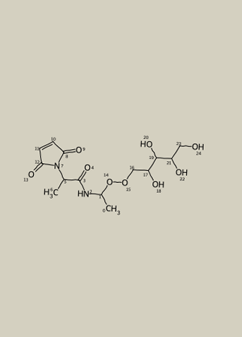 CC(NC(=O)C(C)N1C(=O)C=CC1=O)OOCC(O)C(O)C(O)CO